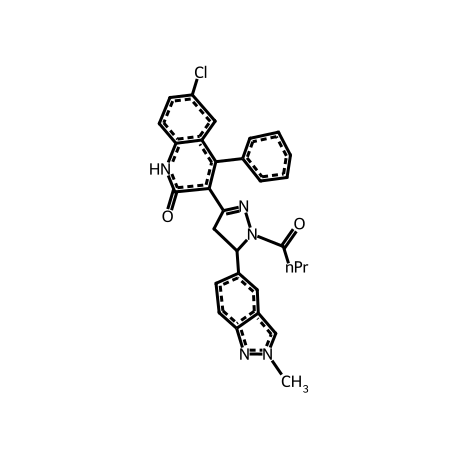 CCCC(=O)N1N=C(c2c(-c3ccccc3)c3cc(Cl)ccc3[nH]c2=O)CC1c1ccc2nn(C)cc2c1